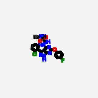 CCNS(=O)(=O)NNc1nc(Oc2ccc(F)cc2)nc2[nH]nc(-c3ccccc3Cl)c12